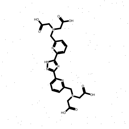 O=C(O)CN(CC(=O)O)Cc1cccc(-c2n[nH]c(-c3cccc(CN(CC(=O)O)CC(=O)O)n3)n2)n1